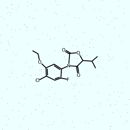 CCOc1cc(N2C(=O)OC(C(C)C)C2=O)c(F)cc1Cl